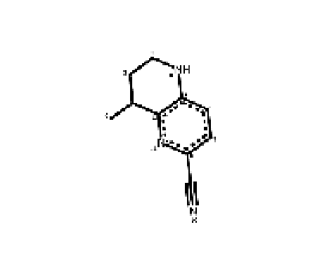 CC1CCNc2ccc(C#N)nc21